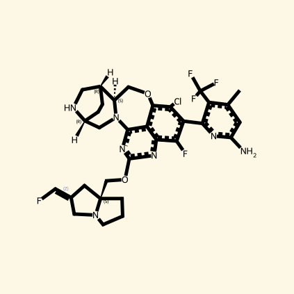 Cc1cc(N)nc(-c2c(Cl)c3c4c(nc(OC[C@@]56CCCN5C/C(=C\F)C6)nc4c2F)N2C[C@H]4CC[C@H](CN4)[C@H]2CO3)c1C(F)(F)F